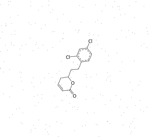 O=C1C=CCC(CCc2ccc(Cl)cc2Cl)O1